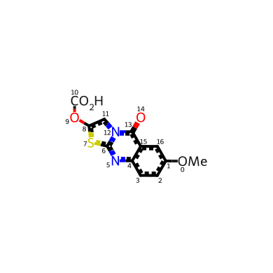 COc1ccc2nc3sc(OC(=O)O)cn3c(=O)c2c1